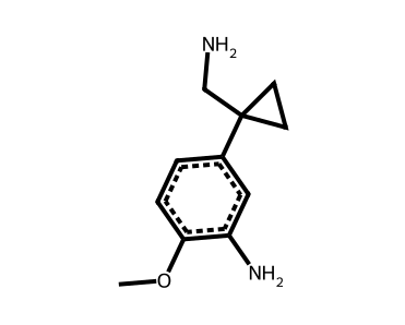 COc1ccc(C2(CN)CC2)cc1N